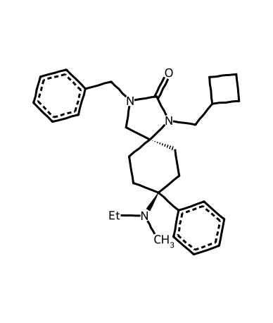 CCN(C)[C@]1(c2ccccc2)CC[C@]2(CC1)CN(Cc1ccccc1)C(=O)N2CC1CCC1